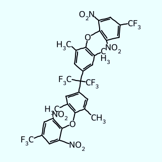 Cc1cc(C(c2cc(C)c(Oc3c([N+](=O)[O-])cc(C(F)(F)F)cc3[N+](=O)[O-])c(C)c2)(C(F)(F)F)C(F)(F)F)cc(C)c1Oc1c([N+](=O)[O-])cc(C(F)(F)F)cc1[N+](=O)[O-]